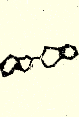 [C]1c2ccccc2CN1C1Cc2ccccc2N1